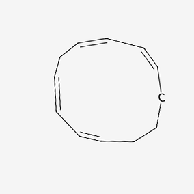 C1=CCC=CC=CCCCC=C1